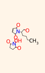 CCCCC(C=O)N1C(=O)C=CC1=O.O=C1CCC(=O)N1O